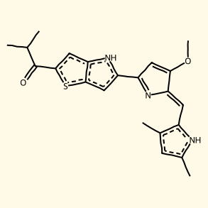 COC1=CC(c2cc3sc(C(=O)C(C)C)cc3[nH]2)=N/C1=C\c1[nH]c(C)cc1C